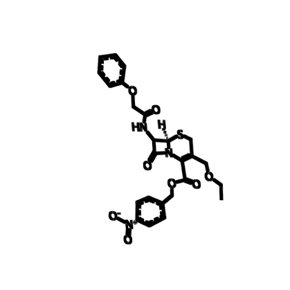 CCOCC1=C(C(=O)OCc2ccc([N+](=O)[O-])cc2)N2C(=O)C(NC(=O)COc3ccccc3)[C@H]2SC1